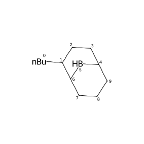 CCCCC1CCC2BC1CCC2